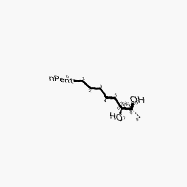 CCCCCCCCCC[C@H](O)[C@@H](C)O